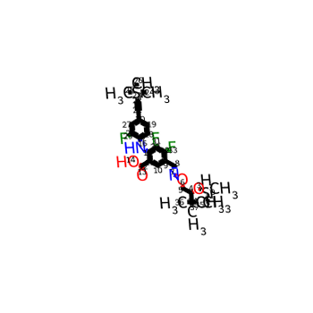 C[SiH](C)OC(CON=Cc1cc(C(=O)O)c(Nc2ccc(C#C[Si](C)(C)C)cc2F)c(F)c1F)C(C)(C)C